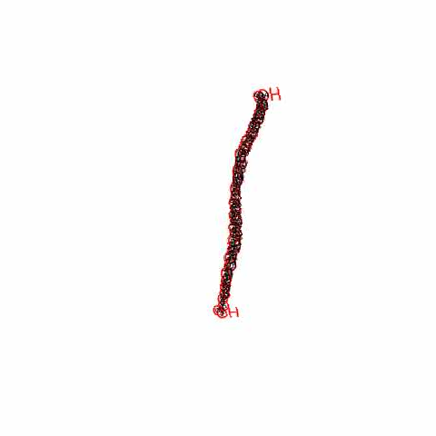 O=C(O)CCOCCOCCOCCOCCOCCOCCOCCOCCOCCOCCOCCOCCOCCOCCOCCOCCOCCOCCOCCOCCOCCOCCOCCOCCOCCOCCOCCOCCOCCC(=O)O